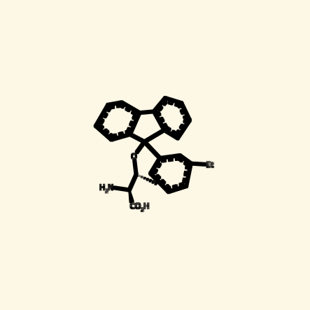 CCc1cccc(C2(O[C@H](C)[C@H](N)C(=O)O)c3ccccc3-c3ccccc32)c1